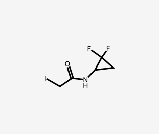 O=C(CI)NC1CC1(F)F